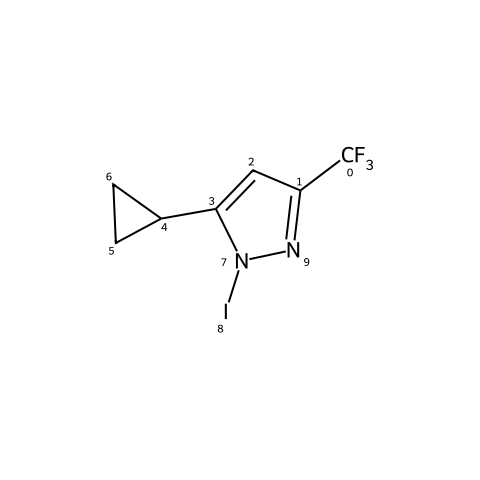 FC(F)(F)c1cc(C2CC2)n(I)n1